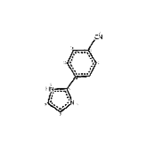 N#Cc1ccc(-c2n[c]c[nH]2)cc1